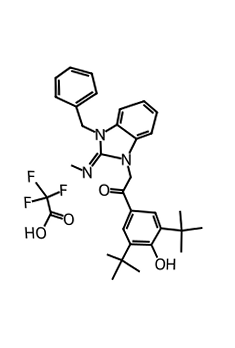 C/N=c1/n(CC(=O)c2cc(C(C)(C)C)c(O)c(C(C)(C)C)c2)c2ccccc2n1Cc1ccccc1.O=C(O)C(F)(F)F